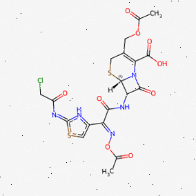 CC(=O)OCC1=C(C(=O)O)N2C(=O)C(NC(=O)C(=NOC(C)=O)c3csc(=NC(=O)CCl)[nH]3)[C@@H]2SC1